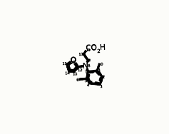 Cc1cccc(C)c1N(CCC(=O)O)c1ccco1